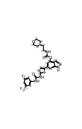 O=C(Nc1cc(F)cc(C(F)(F)F)c1)Nc1ncc(-c2cc(OC(=O)NCCN3CCOCC3)c3cn[nH]c3n2)s1